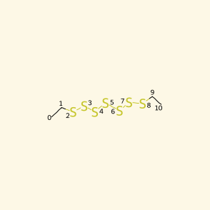 CCSSSSSSSCC